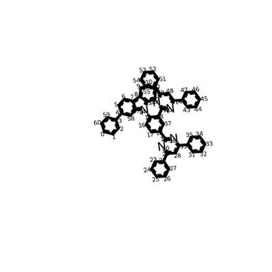 c1ccc(-c2ccc3c4ccccc4n(-c4ccc(-c5nc(-c6ccccc6)cc(-c6ccccc6)n5)cc4-c4nc(-c5ccccc5)cc(-c5ccccc5)n4)c3c2)cc1